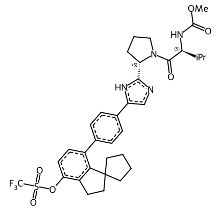 COC(=O)N[C@H](C(=O)N1CCC[C@H]1c1ncc(-c2ccc(-c3ccc(OS(=O)(=O)C(F)(F)F)c4c3C3(CCCC3)CC4)cc2)[nH]1)C(C)C